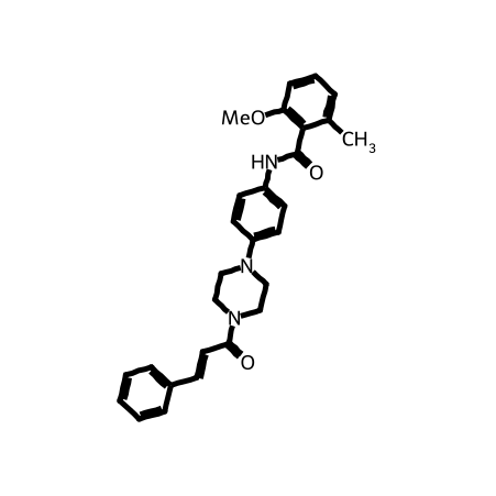 COc1cccc(C)c1C(=O)Nc1ccc(N2CCN(C(=O)/C=C/c3ccccc3)CC2)cc1